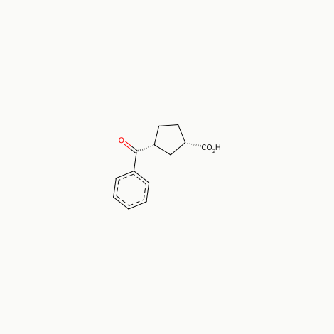 O=C(O)[C@H]1CC[C@@H](C(=O)c2ccccc2)C1